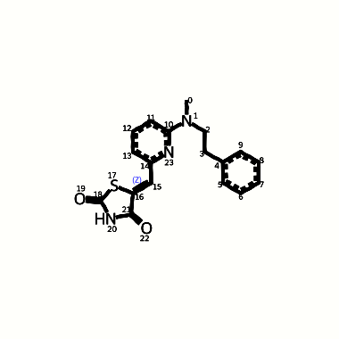 CN(CCc1ccccc1)c1cccc(/C=C2\SC(=O)NC2=O)n1